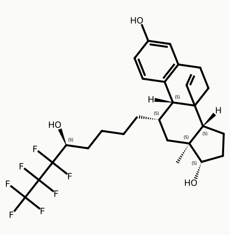 C=CC12CCc3cc(O)ccc3[C@H]1[C@@H](CCCC[C@H](O)C(F)(F)C(F)(F)C(F)(F)F)C[C@]1(C)[C@@H](O)CC[C@@H]21